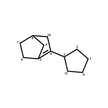 C1CCC(C2=C3CCC(C3)C2)C1